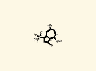 CCc1cc(S(=O)(=O)[O-])c2cc(C(C)C)ccc(OC)c1-2.[Na+]